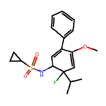 COC1=CC(F)(C(C)C)C(NS(=O)(=O)C2CC2)C=C1c1ccccc1